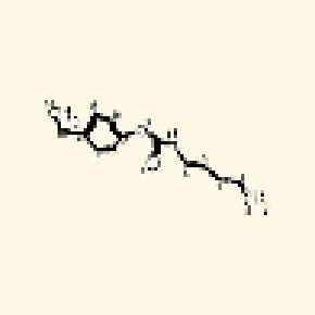 CCCCCNC(=O)Oc1ccc(CC)cc1